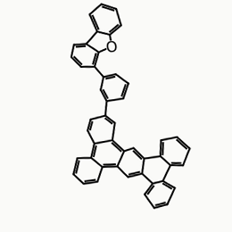 c1cc(-c2ccc3c4ccccc4c4cc5c6ccccc6c6ccccc6c5cc4c3c2)cc(-c2cccc3c2oc2ccccc23)c1